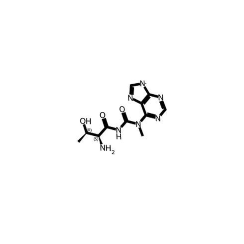 C[C@@H](O)[C@H](N)C(=O)NC(=O)N(C)c1ncnc2c1N=C[N]2